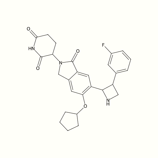 O=C1CCC(N2Cc3cc(OC4CCCC4)c(C4NCC4c4cccc(F)c4)cc3C2=O)C(=O)N1